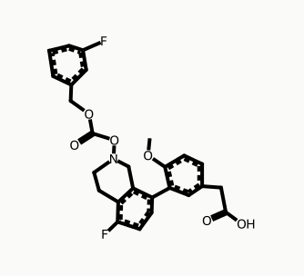 COc1ccc(CC(=O)O)cc1-c1ccc(F)c2c1CN(OC(=O)OCc1cccc(F)c1)CC2